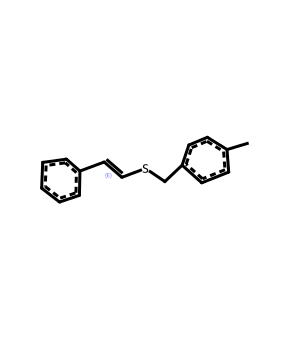 Cc1ccc(CS/C=C/c2ccccc2)cc1